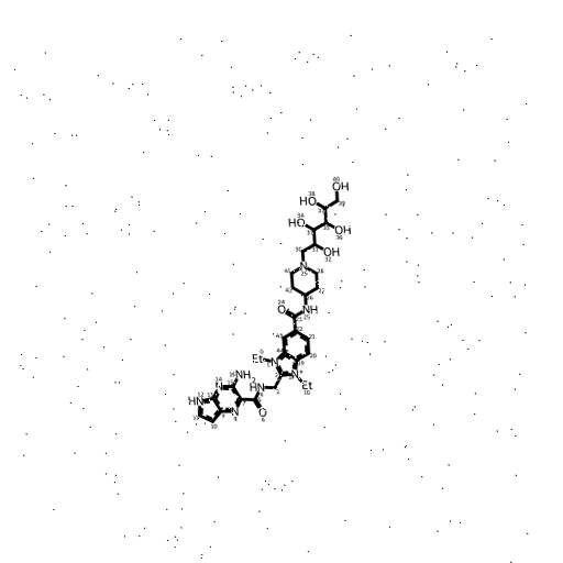 CCn1c(CNC(=O)c2nc3cc[nH]c3nc2N)[n+](CC)c2ccc(C(=O)NC3CCN(CC(O)C(O)C(O)C(O)CO)CC3)cc21